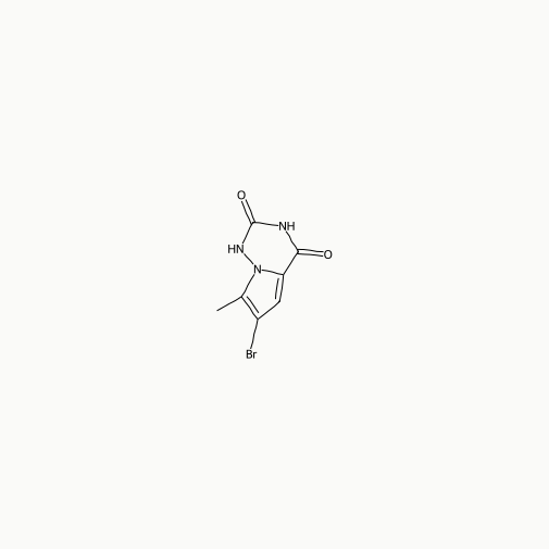 Cc1c(Br)cc2c(=O)[nH]c(=O)[nH]n12